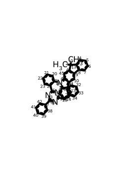 CC1(C)c2ccccc2-c2cc3c4ccccc4n(-c4ccccc4-c4nc(Cc5ccccc5)nc(-c5ccccc5)n4)c3cc21